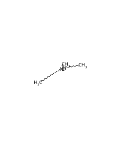 CCCCCCCCCCCCCCN1C=CN(CCCCCCCCC)C1CC